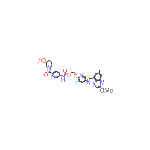 COc1cnc2c(-c3nc4cc(F)c(OC[C@@H](C)OC(=O)Nc5ccc(C(=O)N6CCCC(O)C6)nc5)nc4s3)cc(C)cc2n1